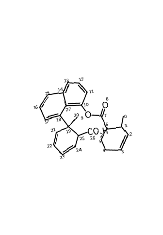 CC1C=CCCC1C(=O)Oc1cccc2cccc(C3(C)C=CC=CC3C(=O)O)c12